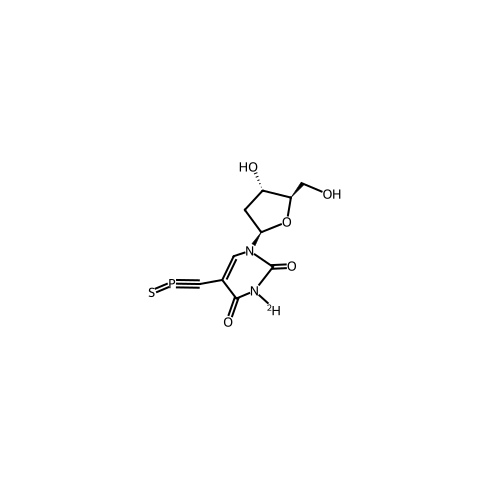 [2H]n1c(=O)c(C#P=S)cn([C@H]2C[C@H](O)[C@@H](CO)O2)c1=O